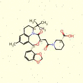 Cc1cc2c3c(c1)[C@@H](c1cccc4c1OCO4)O[C@H](CC(=O)N1CCC[C@@H](C(=O)O)C1)C(=O)N3[C@H](C(C)(C)C)CC2